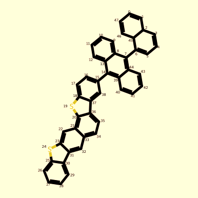 C1=CC2C=CC=C(c3c4ccccc4c(-c4ccc5sc6c7cc8sc9ccccc9c8cc7ccc6c5c4)c4ccccc34)C2C=C1